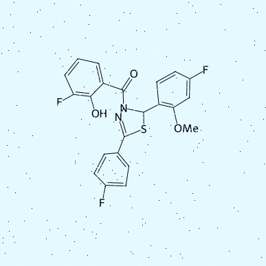 COc1cc(F)ccc1C1SC(c2ccc(F)cc2)=NN1C(=O)c1cccc(F)c1O